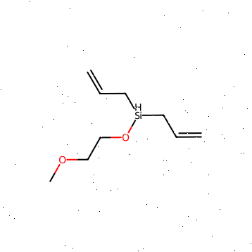 C=CC[SiH](CC=C)OCCOC